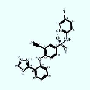 N#Cc1cc(S(=O)(=O)Nc2ccc(F)cn2)ccc1Oc1ccccc1-c1nnco1